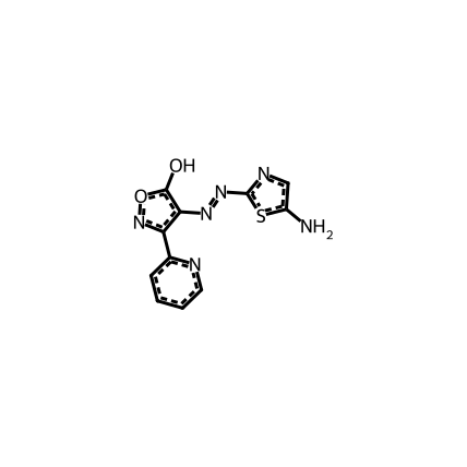 Nc1cnc(N=Nc2c(-c3ccccn3)noc2O)s1